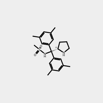 Cc1cc(C)cc(C(NS(C)(=O)=O)(c2cc(C)cc(C)c2)[C@@H]2CCCN2)c1